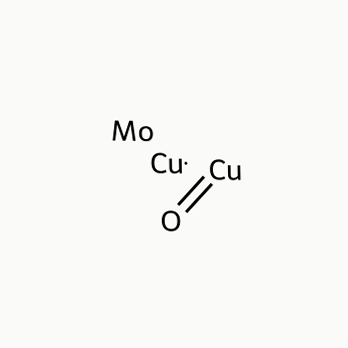 [Cu].[Mo].[O]=[Cu]